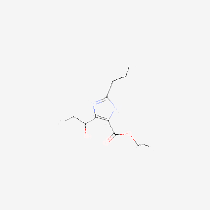 CCCc1nc(C(O)CC)c(C(=O)OCC)[nH]1